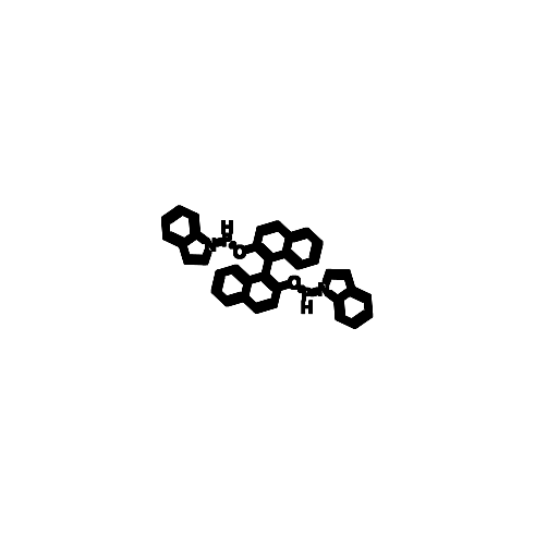 c1ccc2c(-c3c(OPn4ccc5ccccc54)ccc4ccccc34)c(OPn3ccc4ccccc43)ccc2c1